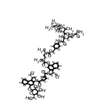 CC(C)[C@H](NC(=O)OC(C)(C)C)C(=O)N[C@@H](CCCNC(N)=O)C(=O)Nc1ccc(COC(=O)N(C)CCN(C)C(=O)Oc2cc3c(c4ccccc24)[C@H](CCl)CN3C(=O)c2ccc(C(=O)N3C[C@@H](CCl)c4c3cc(OC3O[C@H](CO)[C@H](O)[C@H](O)[C@H]3O)c3ccccc43)s2)cc1